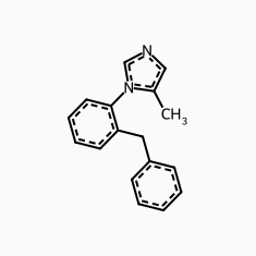 Cc1cncn1-c1ccccc1Cc1ccccc1